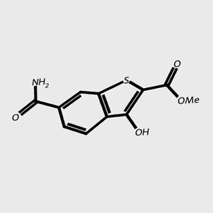 COC(=O)c1sc2cc(C(N)=O)ccc2c1O